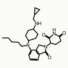 CCCCCN(c1cccc2c1CN(C1CCC(=O)NC1=O)C2=O)C1CCC(NCC2CC2)CC1